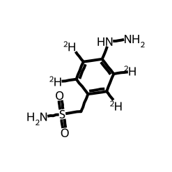 [2H]c1c([2H])c(NN)c([2H])c([2H])c1CS(N)(=O)=O